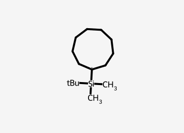 CC(C)(C)[Si](C)(C)[C]1CCCCCCCC1